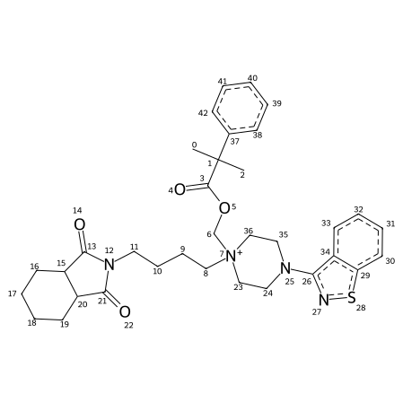 CC(C)(C(=O)OC[N+]1(CCCCN2C(=O)C3CCCCC3C2=O)CCN(c2nsc3ccccc23)CC1)c1ccccc1